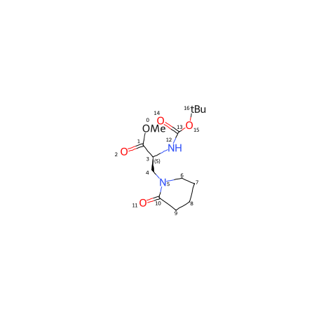 COC(=O)[C@H](CN1CCCCC1=O)NC(=O)OC(C)(C)C